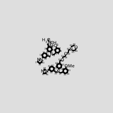 COc1cccc(CN(Cc2cccc(-n3cccn3)c2)c2ccc(CN(C)C)cc2)c1.COc1cccc(CN(Cc2cccc(-n3ccnc3)c2)c2ccc(COCCOCCN3CCOCC3)cc2)c1